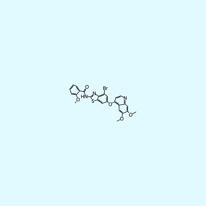 COc1cc2nccc(Oc3cc(Br)c4nc(NC(=O)c5ccccc5OC)sc4c3)c2cc1OC